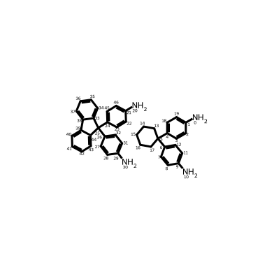 Nc1ccc(C2(c3ccc(N)cc3)CCCCC2)cc1.Nc1ccc(C2(c3ccc(N)cc3)c3ccccc3-c3ccccc32)cc1